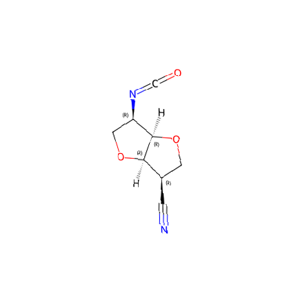 N#C[C@@H]1CO[C@H]2[C@@H]1OC[C@H]2N=C=O